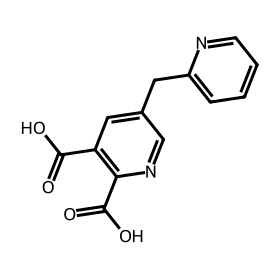 O=C(O)c1cc(Cc2ccccn2)cnc1C(=O)O